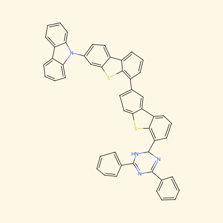 c1ccc(C2=NC(c3cccc4c3sc3ccc(-c5cccc6c5sc5cc(-n7c8ccccc8c8ccccc87)ccc56)cc34)NC(c3ccccc3)=N2)cc1